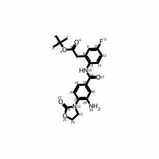 CC(C)(C)OC(=O)Cc1cc(F)ccc1NC(=O)c1ccc(N2CCOC2=O)c(N)c1